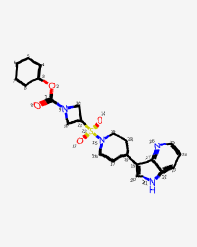 O=C(OC1CCCCC1)N1CC(S(=O)(=O)N2CCC(c3c[nH]c4cccnc34)CC2)C1